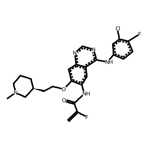 C=C(F)C(=O)Nc1cc2c(Nc3ccc(F)c(Cl)c3)ncnc2cc1OCC[C@@H]1CCCN(C)C1